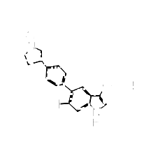 CC(=O)N1CCC(c2ccc(-c3cc4c(C(=O)O)c[nH]c4cc3Cl)cc2)C1